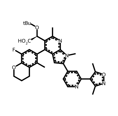 Cc1noc(C)c1-c1cc(-c2cc3c(-c4cc(F)c5c(c4C)CCCO5)c([C@H](OC(C)(C)C)C(=O)O)c(C)nc3n2C)ccn1